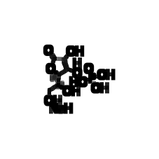 O=C1O[C@H]([C@@H](O)CO)C(O)=C1O.O=P(O)(O)O.[NaH]